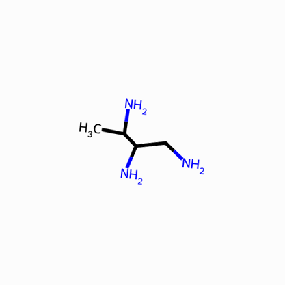 CC(N)C(N)CN